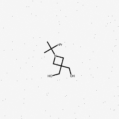 CCCC(C)(C)N1CC(CO)(CO)C1